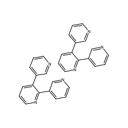 c1cncc(-c2cccnc2-c2cccnc2)c1.c1cncc(-c2cccnc2-c2cccnc2)c1